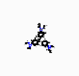 CCN(CC)c1cc[c]([Bi]([c]2ccc(N(CC)CC)cc2)[c]2ccc(N(CC)CC)cc2)cc1